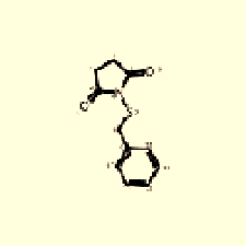 O=C1CCC(=O)N1SCc1ccccc1